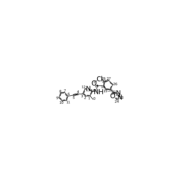 Cc1cc(C#Cc2ccccc2)cnc1NC(=O)c1cc(-c2nnco2)ccc1Cl